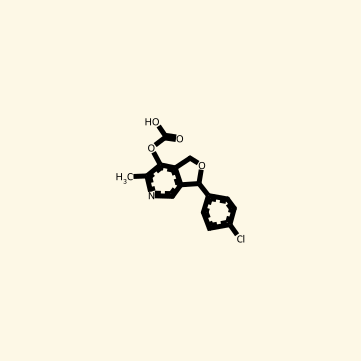 Cc1ncc2c(c1OC(=O)O)COC2c1ccc(Cl)cc1